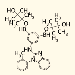 Cc1ccccc1-n1c(Nc2cc(BOC(C)(C)C(C)(C)O)cc(BOC(C)(C)C(C)(C)O)c2)nc2ccccc21